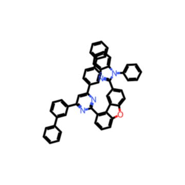 c1ccc(-c2ccc(-c3cc(-c4cccc(-c5ccccc5)c4)nc(-c4cccc5oc6ccc(-c7nc8ccccc8n7-c7ccccc7)cc6c45)n3)cc2)cc1